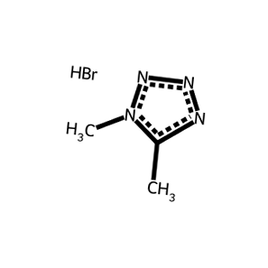 Br.Cc1nnnn1C